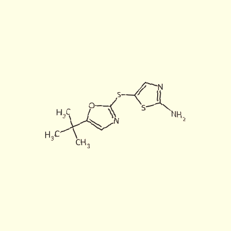 CC(C)(C)c1cnc(Sc2cnc(N)s2)o1